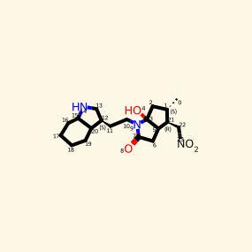 C[C@H]1CC2(O)C(CC(=O)N2CC[C@@H]2CNC3CCCCC32)[C@@H]1C[N+](=O)[O-]